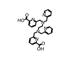 O=C(O)c1cccc(CN(CCN(Cc2ccccn2)Cc2cccc(C(=O)O)n2)Cc2ccccn2)n1